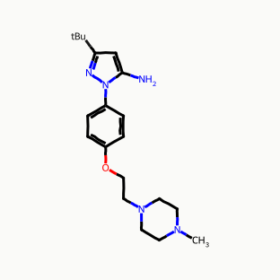 CN1CCN(CCOc2ccc(-n3nc(C(C)(C)C)cc3N)cc2)CC1